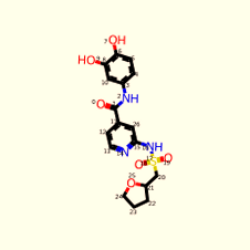 O=C(Nc1ccc(O)c(O)c1)c1ccnc(NS(=O)(=O)CC2CCCO2)c1